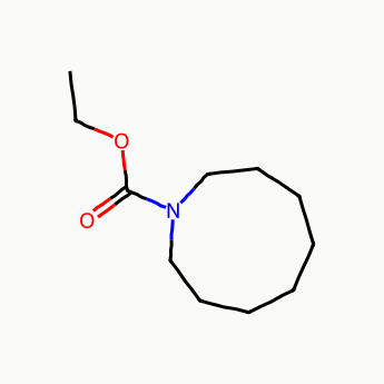 CCOC(=O)N1CCCCCCCC1